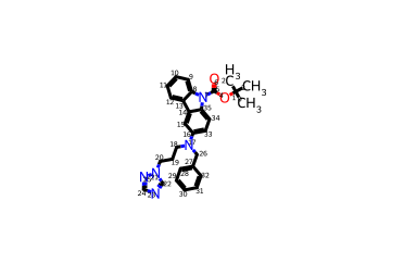 CC(C)(C)OC(=O)n1c2ccccc2c2cc(N(CCCn3cncn3)Cc3ccccc3)ccc21